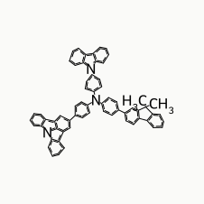 CC1(C)c2ccccc2-c2ccc(-c3ccc(N(c4ccc(-c5cc6c7ccccc7n7c8ccccc8c(c5)c67)cc4)c4ccc(-n5c6ccccc6c6ccccc65)cc4)cc3)cc21